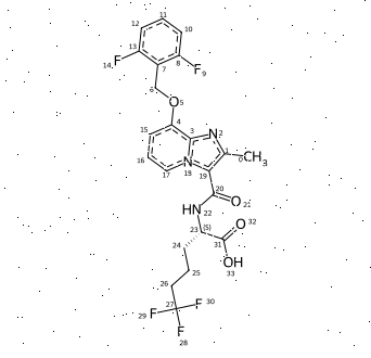 Cc1nc2c(OCc3c(F)cccc3F)cccn2c1C(=O)N[C@@H](CCCC(F)(F)F)C(=O)O